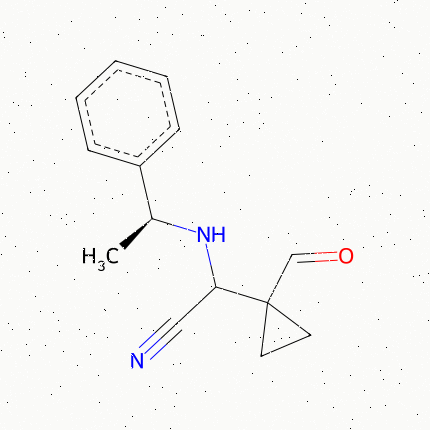 C[C@H](NC(C#N)C1(C=O)CC1)c1ccccc1